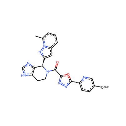 COc1ccc(-c2nnc(C(=O)N3CCc4[nH]cnc4[C@H]3c3cc4cccc(C)n4n3)o2)nc1